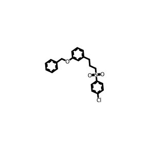 O=S(=O)(CCCc1cccc(OCc2ccccc2)c1)c1ccc(Cl)cc1